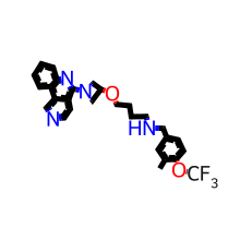 Cc1cc(CNCCCCOC2CN(c3nc4ccccc4c4cnccc34)C2)ccc1OC(F)(F)F